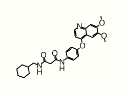 COc1cc2nccc(Oc3ccc(NC(=O)CC(=O)NCC4CCCCC4)cc3)c2cc1OC